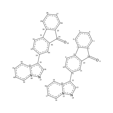 O=C1c2ccccc2-c2ccc(-c3cnn4ccccc34)cc21.O=C1c2ccccc2-c2ccc(-c3cnn4ccccc34)cc21